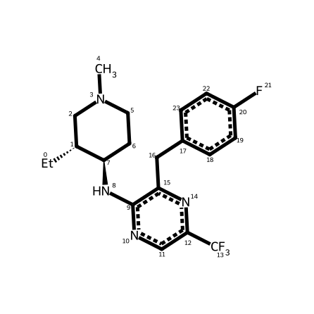 CC[C@@H]1CN(C)CC[C@H]1Nc1ncc(C(F)(F)F)nc1Cc1ccc(F)cc1